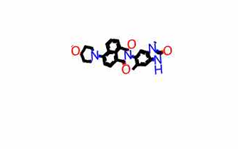 COC1CCN(c2ccc3c4c(cccc24)C(=O)N(c2cc4c(cc2C)[nH]c(=O)n4C)C3=O)CC1